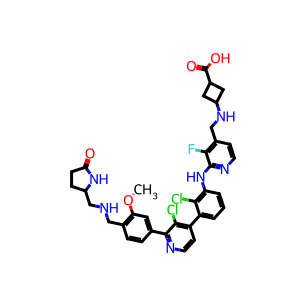 COc1cc(-c2nccc(-c3cccc(Nc4nccc(CNC5CC(C(=O)O)C5)c4F)c3Cl)c2Cl)ccc1CNCC1CCC(=O)N1